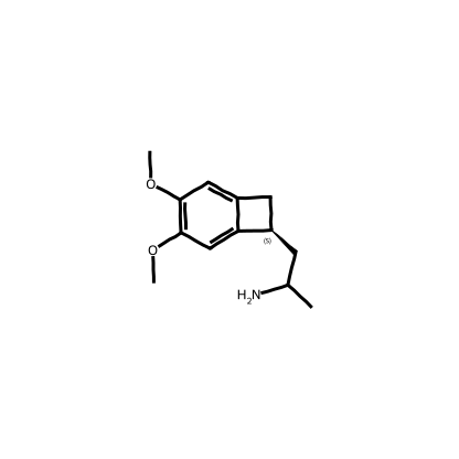 COc1cc2c(cc1OC)[C@H](CC(C)N)C2